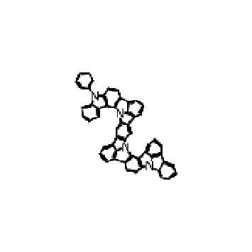 c1ccc(-n2c3ccccc3c3c2ccc2c4cccc5c6cc7c(cc6n(c54)c23)c2cccc3c4ccc5c(c6cccc8c9ccccc9n5c86)c4n7c23)cc1